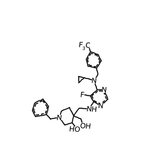 OCC1(CNc2ncnc(N(Cc3ccc(C(F)(F)F)cc3)C3CC3)c2F)CCN(Cc2ccccc2)CC1O